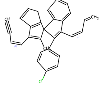 C#C/C=C\C1=C(C)C2(C3=C1C=CC3)C(c1ccc(Cl)cc1)=C(/C=C\C=C)c1ccccc12